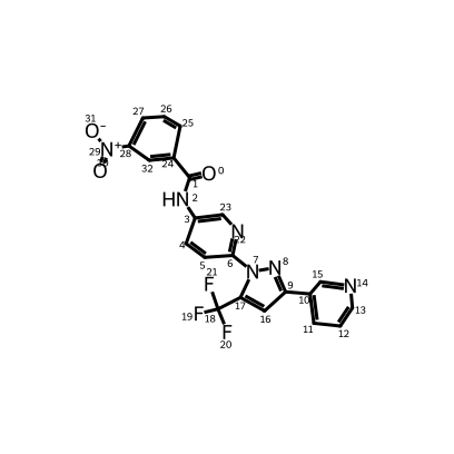 O=C(Nc1ccc(-n2nc(-c3cccnc3)cc2C(F)(F)F)nc1)c1cccc([N+](=O)[O-])c1